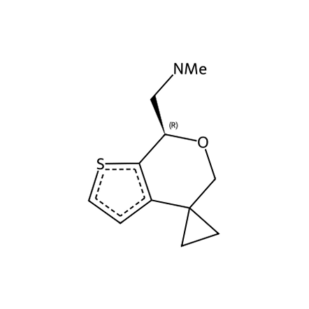 CNC[C@H]1OCC2(CC2)c2ccsc21